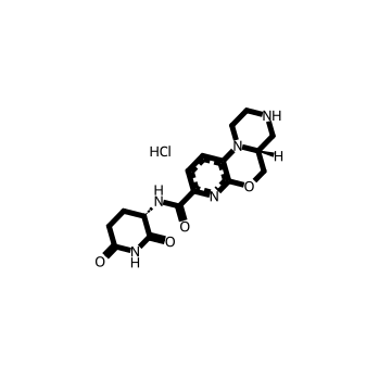 Cl.O=C1CC[C@H](NC(=O)c2ccc3c(n2)OC[C@H]2CNCCN32)C(=O)N1